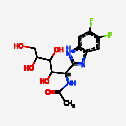 CC(=O)N[C@H](c1nc2cc(F)c(F)cc2[nH]1)C(O)C(O)C(O)CO